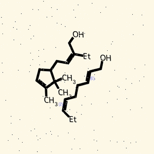 CC/C=C\CC/C=C/CO.CCC(=CCC1CC=C(C)C1(C)C)CO